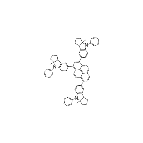 CC12CCCC1c1cc(-c3ccc4ccc5c(-c6ccc7c(c6)C6CCCC6(C)N7c6ccccc6)cc(-c6ccc7c(c6)C6CCCC6(C)N7c6ccccc6)c6ccc3c4c56)ccc1N2c1ccccc1